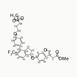 COC(=O)Cc1coc2cc(OC3CCc4c3ccc(C(F)(F)F)c4-c3ccc(OCCCS(C)(=O)=O)cc3)ccc12